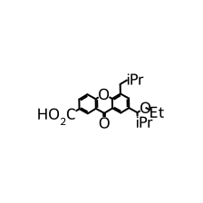 CCOC(c1cc(CC(C)C)c2oc3ccc(C(=O)O)cc3c(=O)c2c1)C(C)C